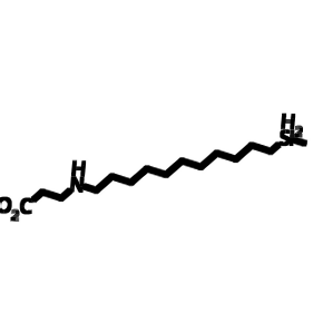 C[SiH2]CCCCCCCCCCCNCCC(=O)O